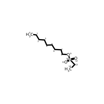 CCCCCCCCCOS(=O)(=O)CC